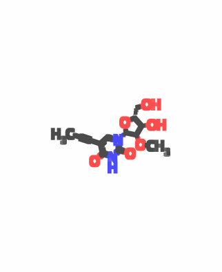 CC#Cc1cn([C@@H]2O[C@H](CO)[C@@H](O)[C@H]2OC)c(=O)[nH]c1=O